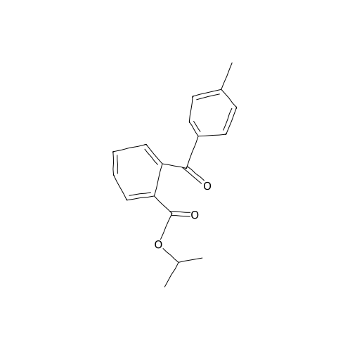 Cc1ccc(C(=O)c2ccccc2C(=O)OC(C)C)cc1